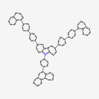 c1ccc2c(-c3ccc(-c4ccc(-c5ccc6c(c5)c5cc(-c7ccc(-c8ccc(-c9cccc%10ccccc9%10)cc8)cc7)ccc5n6-c5ccc(-c6cc7ccccc7c7ccccc67)cc5)cc4)cc3)cccc2c1